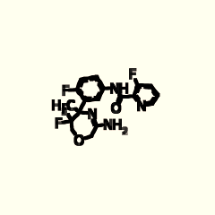 CC1(c2cc(NC(=O)c3ncccc3F)ccc2F)N=C(N)COCC1(F)F